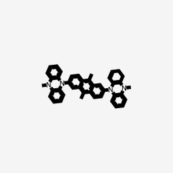 Cc1c2ccc(N3c4ccccc4N(C)c4ccccc43)cc2c(C)c2ccc(N3C4=C(CCC=C4)N(C)c4ccccc43)cc12